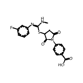 CN/C(=N/c1cccc(F)c1)SC1CC(=O)N(c2ccc(C(=O)O)cc2)C1=O